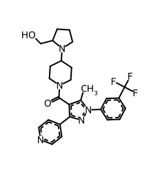 Cc1c(C(=O)N2CCC(N3CCCC3CO)CC2)c(-c2ccncc2)nn1-c1cccc(C(F)(F)F)c1